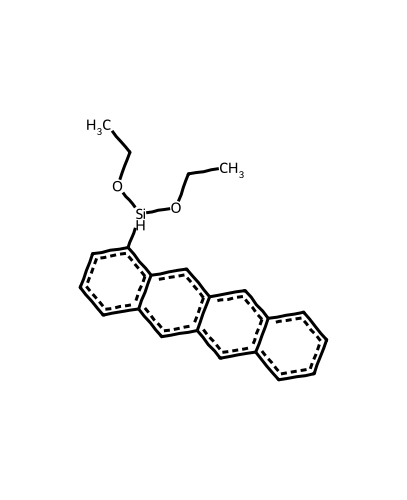 CCO[SiH](OCC)c1cccc2cc3cc4ccccc4cc3cc12